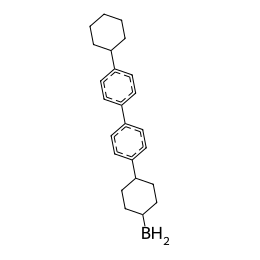 BC1CCC(c2ccc(-c3ccc(C4CCCCC4)cc3)cc2)CC1